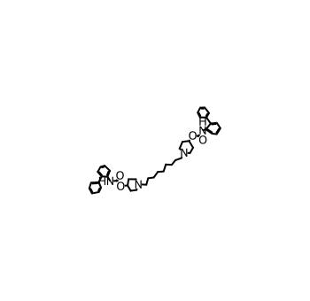 O=C(Nc1ccccc1-c1ccccc1)OC1CCN(CCCCCCCCCN2CCC(OC(=O)Nc3ccccc3-c3ccccc3)CC2)CC1